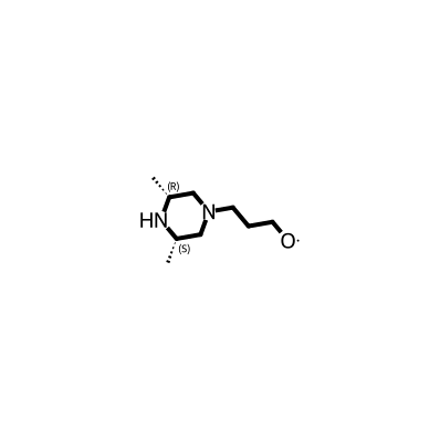 C[C@@H]1CN(CCC[O])C[C@H](C)N1